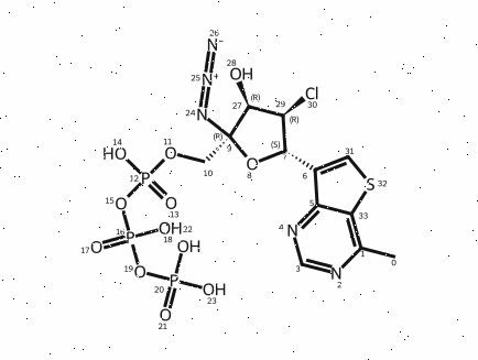 Cc1ncnc2c([C@@H]3O[C@@](COP(=O)(O)OP(=O)(O)OP(=O)(O)O)(N=[N+]=[N-])[C@@H](O)[C@H]3Cl)csc12